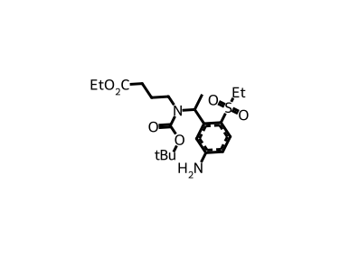 CCOC(=O)CCCN(C(=O)OC(C)(C)C)C(C)c1cc(N)ccc1S(=O)(=O)CC